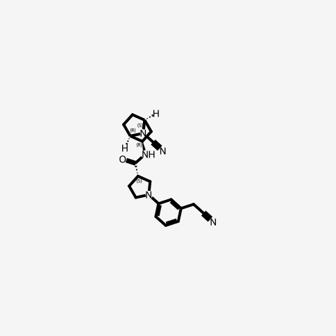 N#CCc1cccc(N2CC[C@H](C(=O)N[C@@H]3C[C@@H]4CC[C@H]3N4C#N)C2)c1